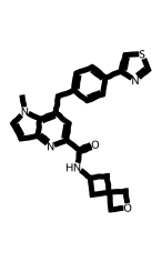 Cn1ccc2nc(C(=O)NC3CC4(COC4)C3)cc(Cc3ccc(-c4cscn4)cc3)c21